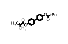 C=C(C)C(=O)Oc1ccc(-c2ccc(OC(=O)C(C)(C)C)cc2)cc1